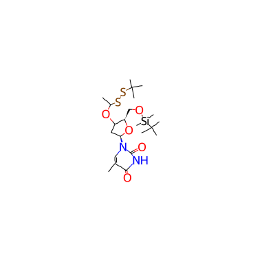 Cc1cn([C@H]2CC(OC(C)SSC(C)(C)C)[C@@H](CO[Si](C)(C)C(C)(C)C)O2)c(=O)[nH]c1=O